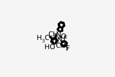 Cc1cc(CN(C(=O)Nc2ccc(F)cc2F)C2Cc3ccccc3C2)c(C(C)C)cc1O